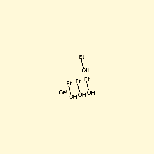 CCO.CCO.CCO.CCO.[Ge]